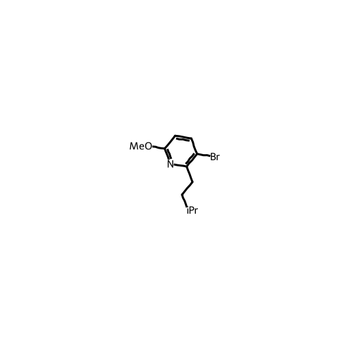 COc1ccc(Br)c(CCC(C)C)n1